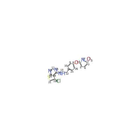 COc1cccc(Oc2ccc(CCNc3ncnc4scc(Cl)c34)cc2)n1